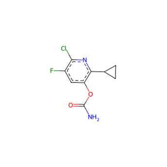 NC(=O)Oc1cc(F)c(Cl)nc1C1CC1